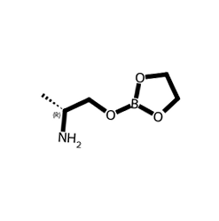 C[C@@H](N)COB1OCCO1